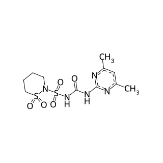 Cc1cc(C)nc(NC(=O)NS(=O)(=O)N2CCCCS2(=O)=O)n1